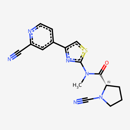 CN(C(=O)[C@@H]1CCCN1C#N)c1nc(-c2ccnc(C#N)c2)cs1